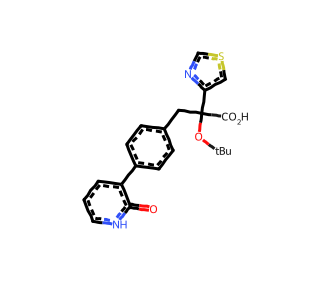 CC(C)(C)OC(Cc1ccc(-c2ccc[nH]c2=O)cc1)(C(=O)O)c1cscn1